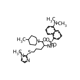 CC1CCN(C(=O)C(CCCSc2nccn2C)NS(=O)(=O)c2cccc3c(N(C)C)cccc23)CC1